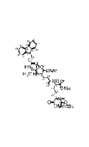 COC(=O)[C@H](CSC[C@@H](NC(=O)CC[C@@H](NC(=O)[C@H](C)NC(=O)OCC1c2ccccc2-c2ccccc21)C(=O)OC)C(=O)OC)NC(=O)OC(C)(C)C